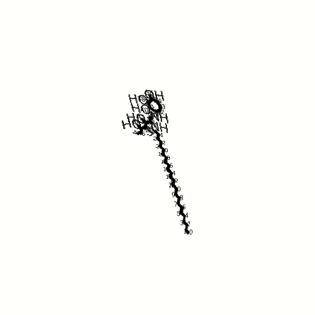 CCCCCCCCCCCCCCCCCCCCCCCCCC(=S)NC(CNC1CC=CC(O)C(O)C1O)C(O)CC(O)CC